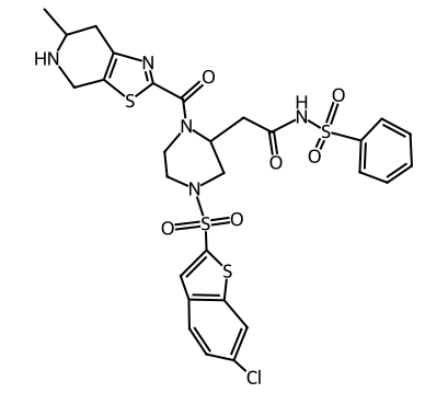 CC1Cc2nc(C(=O)N3CCN(S(=O)(=O)c4cc5ccc(Cl)cc5s4)CC3CC(=O)NS(=O)(=O)c3ccccc3)sc2CN1